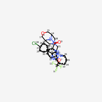 O=C(c1cccc(OC(F)(F)F)n1)N1C2COCC1CN(Cc1c(-c3ccc(Cl)cc3)nc3ccccn13)C2